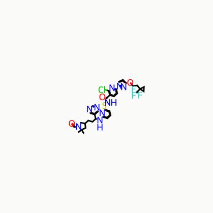 CC1(C)CC(CCC(Nc2cccc(SNC(=O)c3ccc(-n4ccc(OCCC5(C(F)(F)F)CC5)n4)nc3Cl)n2)c2cncnc2)CN1C=O